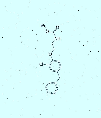 CC(C)OC(=O)NCCOc1ccc(Cc2ccccc2)cc1Cl